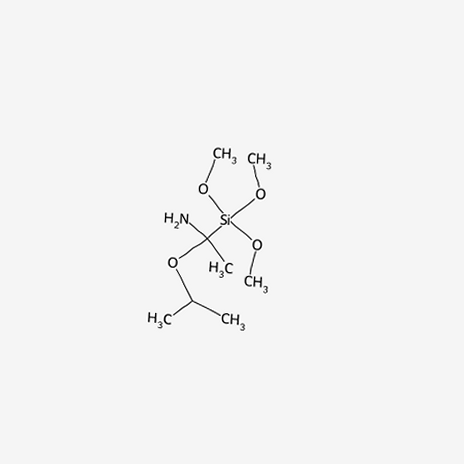 CO[Si](OC)(OC)C(C)(N)OC(C)C